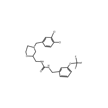 O=C(NCc1cccc(OC(F)(F)F)c1)NCC1CN(Cc2ccc(Cl)c(Cl)c2)CCO1